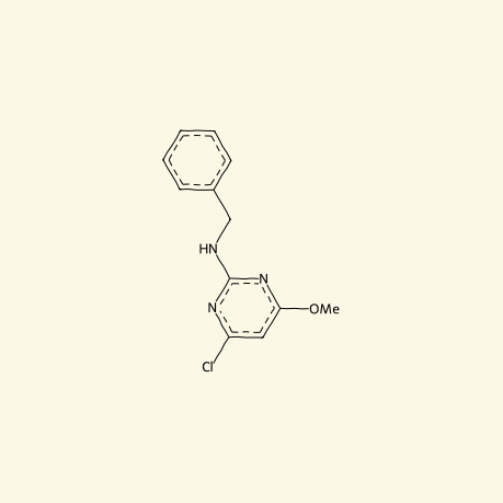 COc1cc(Cl)nc(NCc2ccccc2)n1